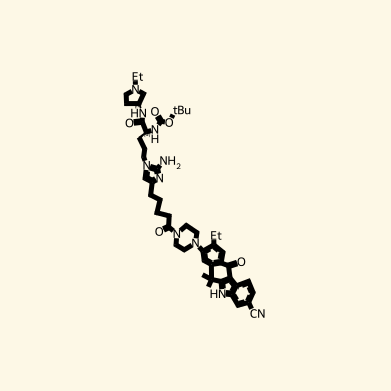 CCc1cc2c(cc1N1CCN(C(=O)CCCCc3cn(CCC[C@H](NC(=O)OC(C)(C)C)C(=O)N[C@@H]4CCN(CC)C4)c(N)n3)CC1)C(C)(C)c1[nH]c3cc(C#N)ccc3c1C2=O